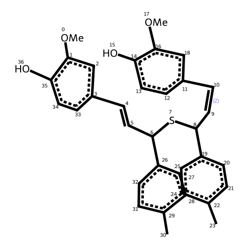 COc1cc(C=CC(SC(/C=C\c2ccc(O)c(OC)c2)c2ccc(C)cc2)c2ccc(C)cc2)ccc1O